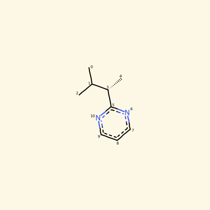 CC(C)[C@H](C)c1ncccn1